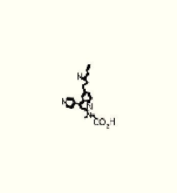 C=C/C=C(/CCc1ccc2nc(N(C)CC(=O)O)cc(-c3ccncc3)c2c1)N=C